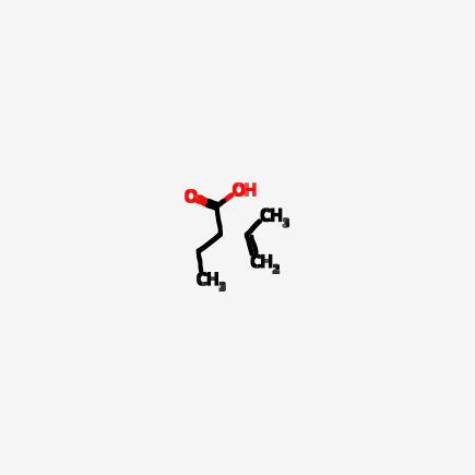 C=CC.CCCC(=O)O